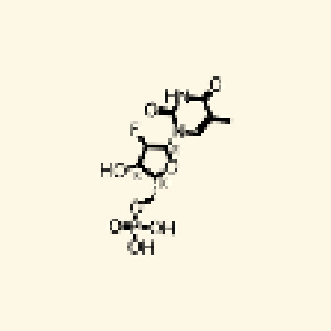 Cc1cn([C@@H]2O[C@H](COP(=O)(O)O)[C@@H](O)C2F)c(=O)[nH]c1=O